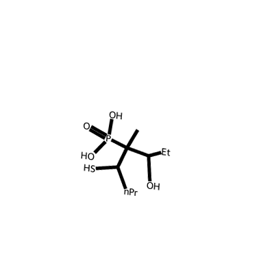 CCCC(S)C(C)(C(O)CC)P(=O)(O)O